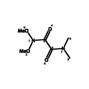 CON(OC)C(=O)C(=O)N(C)C